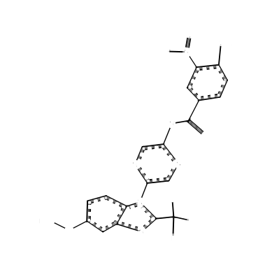 COc1ccc2c(c1)nc(C(F)(F)F)n2-c1cnc(NC(=O)c2ccc(C)c([N+](=O)[O-])c2)cn1